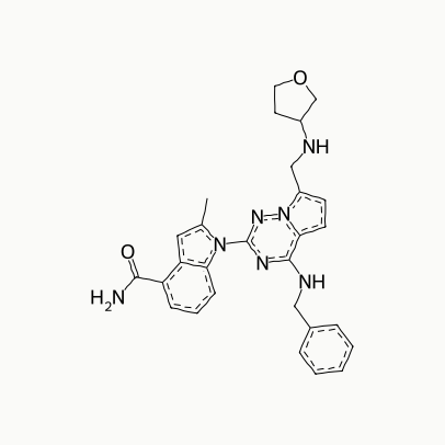 Cc1cc2c(C(N)=O)cccc2n1-c1nc(NCc2ccccc2)c2ccc(CNC3CCOC3)n2n1